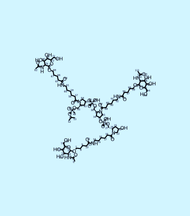 CC(=O)NC1C(OCCCCC(=O)NCCCCCC(=O)N2C[C@H](O)C[C@H]2COP(=O)(O)O[C@@H]2C[C@@H](COP(=O)(O)O[C@@H]3C[C@@H](COP(C)(=O)OC(C)C)N(C(=O)CCCCCNC(=O)CCCCOC4OC(CO)C(O)C(O)C4NC(C)=O)C3)N(C(=O)CCCCCNC(=O)CCCCOC3OC(CO)C(O)C(O)C3NC(C)=O)C2)OC(CO)C(O)C1O